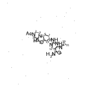 CC(=O)N1CCN2c3ccc(Nc4ncc(C(N)=O)c(NC5CC5)n4)cc3OC[C@H]2C1